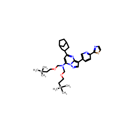 C[Si](C)(C)CCOCN(COCC[Si](C)(C)C)c1cc(C2CC3CCC(C3)C2)nc2c(-c3ccc(-c4nccs4)nc3)cnn12